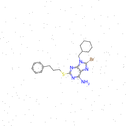 Nc1nc(SCCCc2ccccc2)nc2c1nc(Br)n2CC1CCCCC1